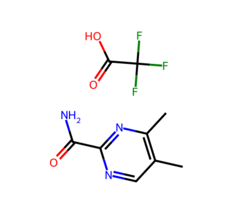 Cc1cnc(C(N)=O)nc1C.O=C(O)C(F)(F)F